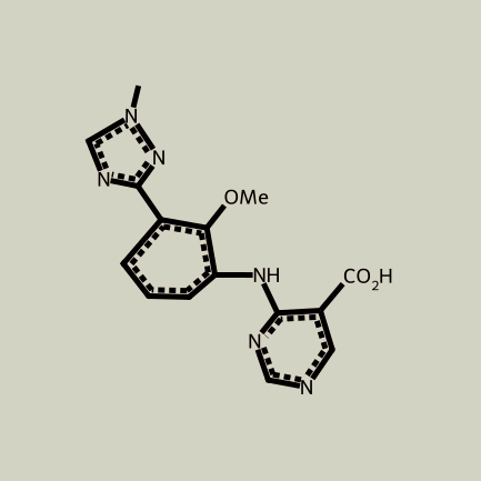 COc1c(Nc2ncncc2C(=O)O)cccc1-c1ncn(C)n1